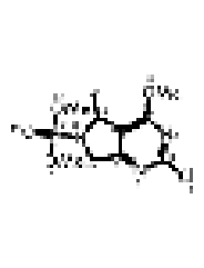 COc1nc(Cl)nc2c1C(C)N(P(=O)(OC)OC)C2